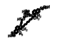 CC1(C)C(=CC=CC=CC=CC2=[N+](CCCS(=O)(=O)O)c3ccc4cc(SOOO)ccc4c3C2(C)C)N(C#CC(S)OOO)c2ccc3cc(S(=O)(=O)O)ccc3c21